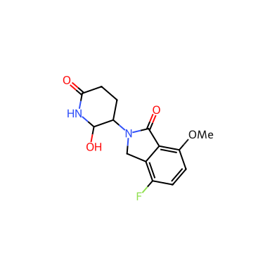 COc1ccc(F)c2c1C(=O)N(C1CCC(=O)NC1O)C2